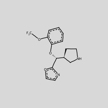 FC(F)(F)Oc1ccccc1O[C@@H](c1ncco1)[C@H]1CCNC1